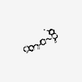 CC(=O)c1ccc2c(c1)N(CCN1CCC(NCc3cc4c(cn3)OCCO4)CC1)C(=O)CO2